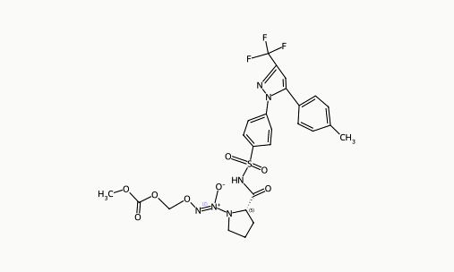 COC(=O)OCO/N=[N+](\[O-])N1CCC[C@H]1C(=O)NS(=O)(=O)c1ccc(-n2nc(C(F)(F)F)cc2-c2ccc(C)cc2)cc1